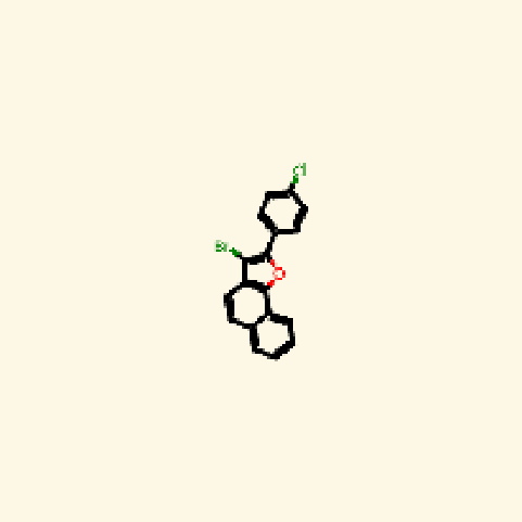 Clc1ccc(-c2oc3c(ccc4ccccc43)c2Br)cc1